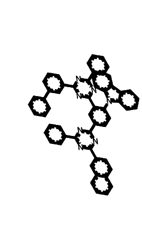 c1ccc(-c2cccc(-c3nc(-c4ccccc4)nc(-c4cc(-c5nc(-c6ccccc6)nc(-c6ccc7ccccc7c6)n5)ccc4-n4c5ccccc5c5ccccc54)n3)c2)cc1